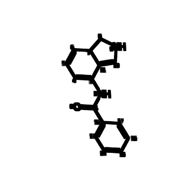 O=C(NC1=CC=CC2CNC=C12)c1ccccc1